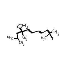 CC(C#N)CC(C)(C)CC/C=C/CC(C)(C)I